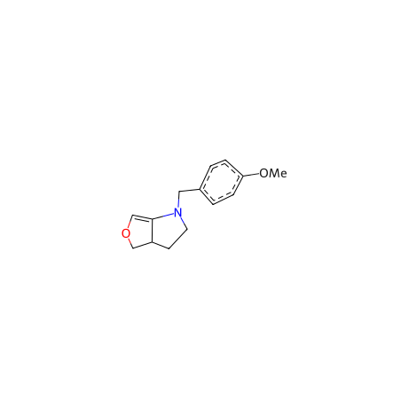 COc1ccc(CN2CCC3COC=C32)cc1